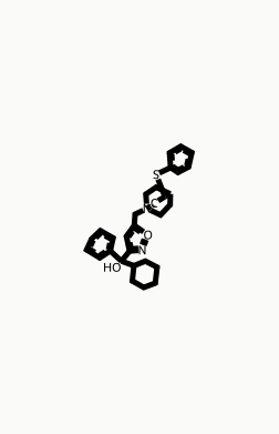 OC(c1ccccc1)(c1cc(C[N+]23CCC(CC2)C(Sc2ccccc2)C3)on1)C1CCCCC1